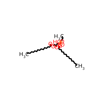 CCCCCCCCCCCCCCCC(=O)OCC(COP(=O)(O)OCCC)OC(=O)CCCCCCCCCCCCCCC